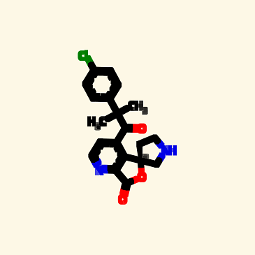 CC(C)(C(=O)c1ccnc2c1[C@@]1(CCNC1)OC2=O)c1ccc(Cl)cc1